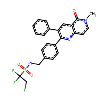 Cn1ccc2nc(-c3ccc(CNS(=O)(=O)C(F)(F)CF)cc3)c(-c3ccccc3)cc2c1=O